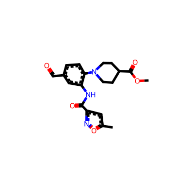 COC(=O)C1CCN(c2ccc(C=O)cc2NC(=O)c2cc(C)on2)CC1